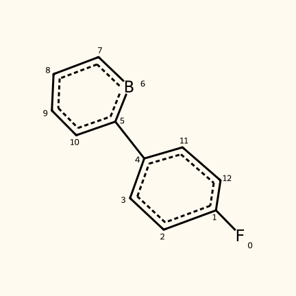 Fc1ccc(-c2bcccc2)cc1